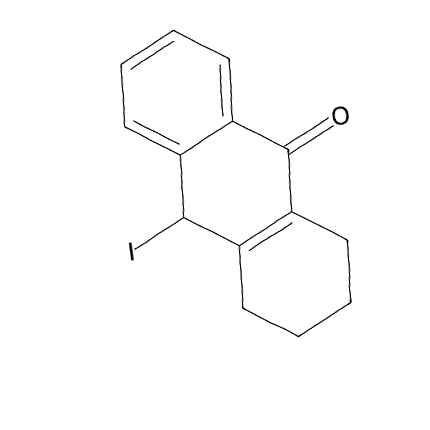 O=C1C2=C(CCCC2)C(I)c2ccccc21